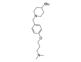 CN(C)CCCOc1ccc(CN2CCC(C(C)(C)C)CC2)cc1